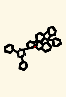 c1ccc(-c2nc(-c3ccccc3)nc(-c3ccc(-c4ccc5c(c4)[Si](c4ccccc4)(c4cccc6ccccc46)c4ccccc4-5)cc3)n2)cc1